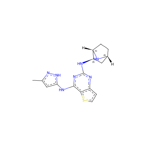 Cc1cc(Nc2nc(N[C@@H]3C[C@H]4CC[C@@H]3N4)nc3ccsc23)[nH]n1